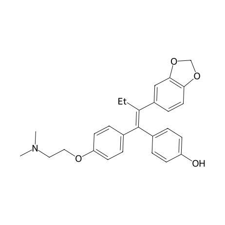 CC/C(=C(/c1ccc(O)cc1)c1ccc(OCCN(C)C)cc1)c1ccc2c(c1)OCO2